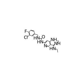 CCNC(=N)c1cnc(NC(=O)NCc2ccc(F)c(Cl)c2)cc1N